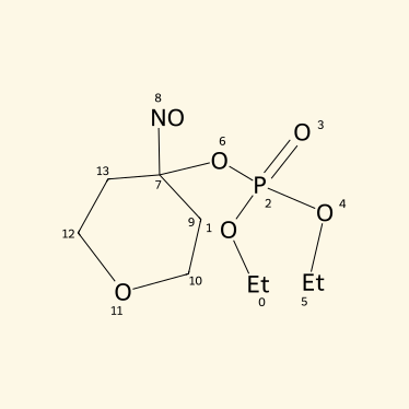 CCOP(=O)(OCC)OC1(N=O)CCOCC1